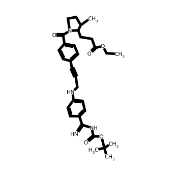 CCOC(=O)CCC1C(C)CCN1C(=O)c1ccc(C#CCNc2ccc(C(=N)NC(=O)OC(C)(C)C)cc2)cc1